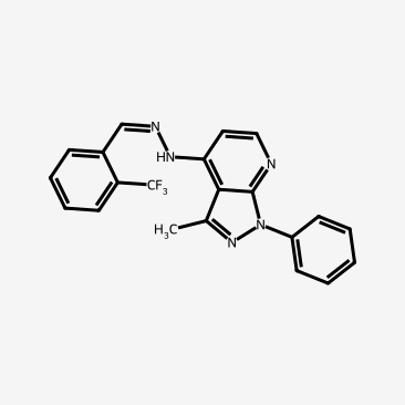 Cc1nn(-c2ccccc2)c2nccc(N/N=C\c3ccccc3C(F)(F)F)c12